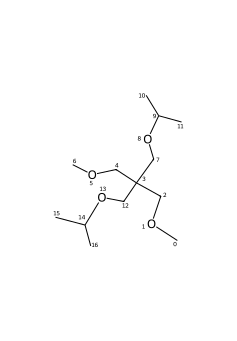 COCC(COC)(COC(C)C)COC(C)C